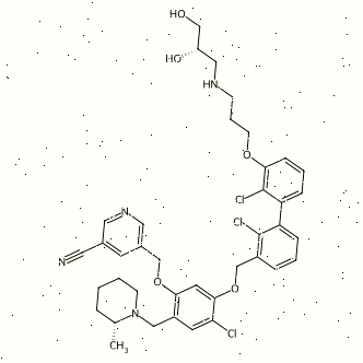 C[C@@H]1CCCCN1Cc1cc(Cl)c(OCc2cccc(-c3cccc(OCCCNC[C@H](O)CO)c3Cl)c2Cl)cc1OCc1cncc(C#N)c1